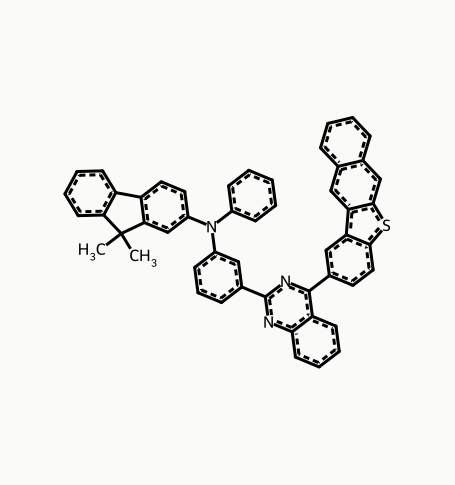 CC1(C)c2ccccc2-c2ccc(N(c3ccccc3)c3cccc(-c4nc(-c5ccc6sc7cc8ccccc8cc7c6c5)c5ccccc5n4)c3)cc21